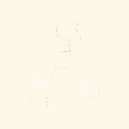 CN(C)C1(c2ccccc2)CCC(c2[nH]c3ccccc3c2CCN2CCCC2)CC1